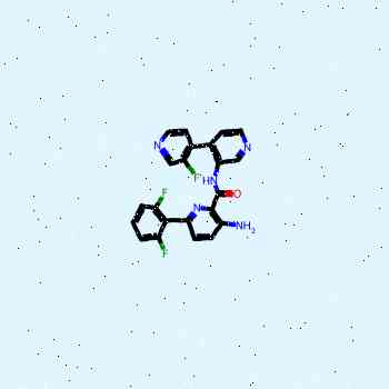 Nc1ccc(-c2c(F)cccc2F)nc1C(=O)Nc1cnccc1-c1ccncc1F